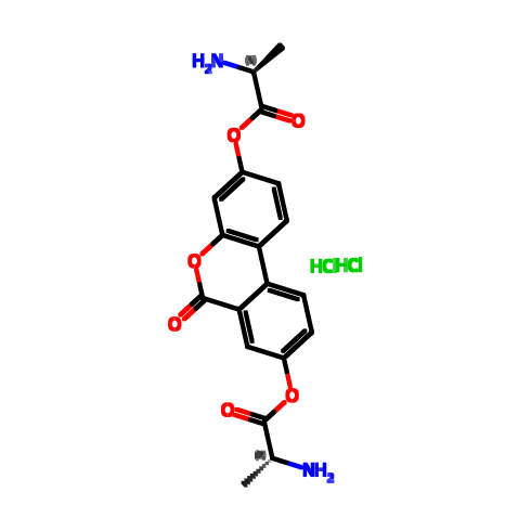 C[C@H](N)C(=O)Oc1ccc2c(c1)oc(=O)c1cc(OC(=O)[C@@H](C)N)ccc12.Cl.Cl